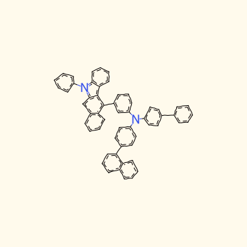 c1ccc(-c2ccc(N(c3ccc(-c4cccc5ccccc45)cc3)c3cccc(-c4c5ccccc5cc5c4c4ccccc4n5-c4ccccc4)c3)cc2)cc1